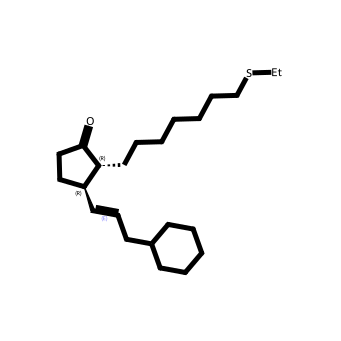 CCSCCCCCCC[C@H]1C(=O)CC[C@@H]1/C=C/CC1CCCCC1